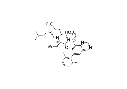 Cc1cccc(C)c1-c1cc([C@H](CC(=O)O)[N+]2=CC3C=C(C(F)(F)F)C(CCN(C)C)=CN3[C@H](CC(C)C)C2=O)c2ncncc2c1